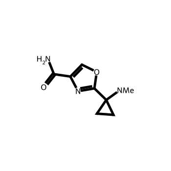 CNC1(c2nc(C(N)=O)co2)CC1